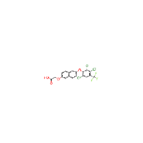 O=C(O)COc1ccc2cc(Oc3c(Cl)cc(C(F)(F)F)c(Cl)c3Cl)ccc2c1